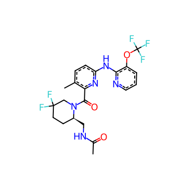 CC(=O)NC[C@H]1CCC(F)(F)CN1C(=O)c1nc(Nc2ncccc2OC(F)(F)F)ccc1C